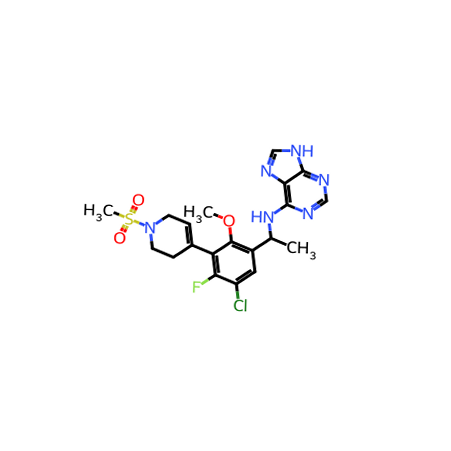 COc1c(C(C)Nc2ncnc3[nH]cnc23)cc(Cl)c(F)c1C1=CCN(S(C)(=O)=O)CC1